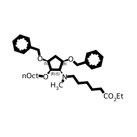 CCCCCCCCO[C@@H]1[C@@H](N(C)CCCCCC(=O)OCC)[C@H](OCc2ccccc2)C[C@@H]1OCc1ccccc1